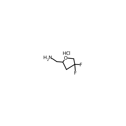 Cl.NCC1CC(F)(F)CO1